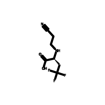 N#CCCN[C@H](CC(F)(F)F)C(=O)O